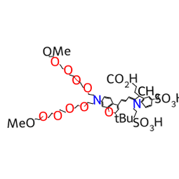 COCCOCCOCCOCCOCCN(CCOCCOCCOCCOCCOC)c1ccc2c(c1)OC(C(C)(C)C)C=C2/C=C/C=C1\N(CCCS(=O)(=O)O)c2ccc(S(=O)(=O)O)cc2C1(C)CCCC(=O)O